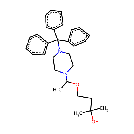 CC(OCCC(C)(C)O)N1CCN(C(c2ccccc2)(c2ccccc2)c2ccccc2)CC1